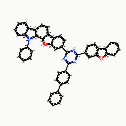 c1ccc(-c2ccc(-c3nc(-c4ccc5c(c4)oc4ccccc45)nc(-c4ccc5c(c4)oc4c5ccc5c6ccccc6n(-c6ccccc6)c54)n3)cc2)cc1